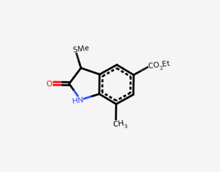 CCOC(=O)c1cc(C)c2c(c1)C(SC)C(=O)N2